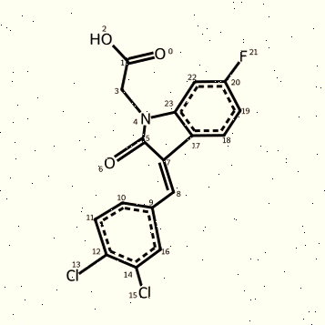 O=C(O)CN1C(=O)/C(=C\c2ccc(Cl)c(Cl)c2)c2ccc(F)cc21